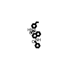 CCc1ccc(NS(=O)(=O)c2ccc(NC(=O)c3ccccc3)c3ccccc23)cc1